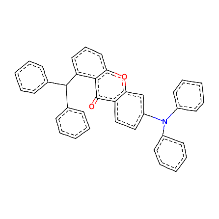 O=c1c2ccc(N(c3ccccc3)c3ccccc3)cc2oc2cccc(C(c3ccccc3)c3ccccc3)c12